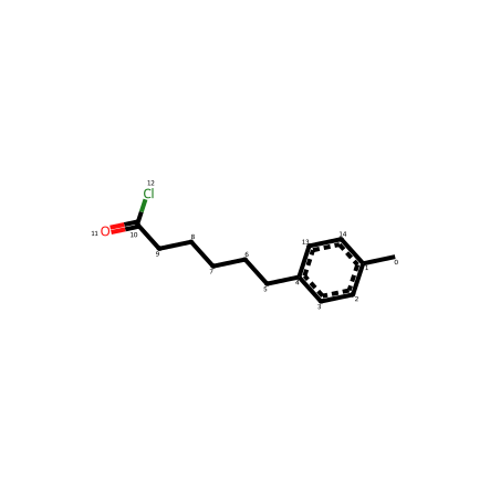 Cc1ccc(CCCCCC(=O)Cl)cc1